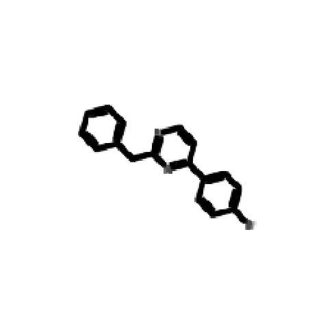 Brc1ccc(-c2ccnc(Cc3ccccc3)n2)cc1